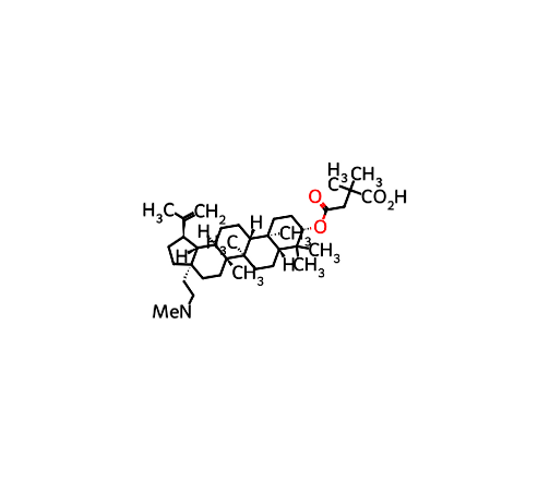 C=C(C)[C@@H]1CC[C@]2(CCNC)CC[C@]3(C)[C@H](CC[C@@H]4[C@@]5(C)CC[C@H](OC(=O)CC(C)(C)C(=O)O)C(C)(C)[C@@H]5CC[C@]43C)[C@@H]12